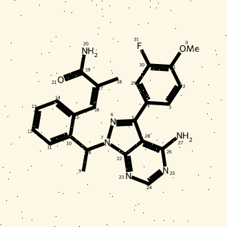 COc1ccc(-c2nn(C(C)c3ccccc3C=C(C)C(N)=O)c3ncnc(N)c23)cc1F